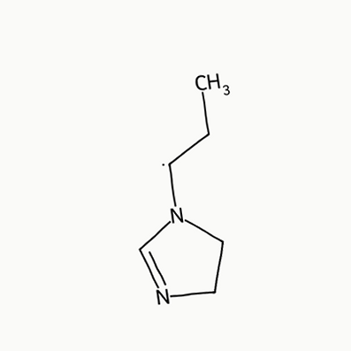 CC[CH]N1C=NCC1